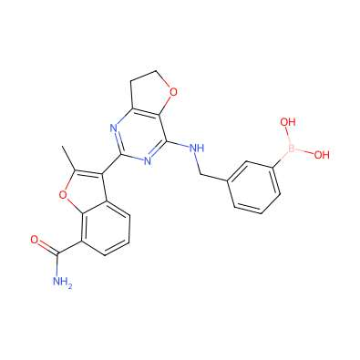 Cc1oc2c(C(N)=O)cccc2c1-c1nc2c(c(NCc3cccc(B(O)O)c3)n1)OCC2